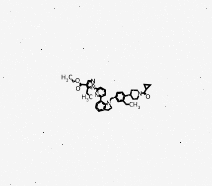 CCOC(=O)c1cnn(-c2cccc(-c3cccc4c3N(Cc3ccc(C5CCN(C(=O)C6CC6)CC5)c(CC)c3)CC4)n2)c1CC